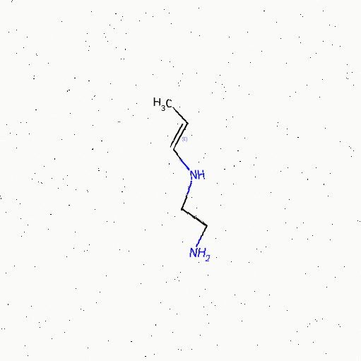 C/C=C/NCCN